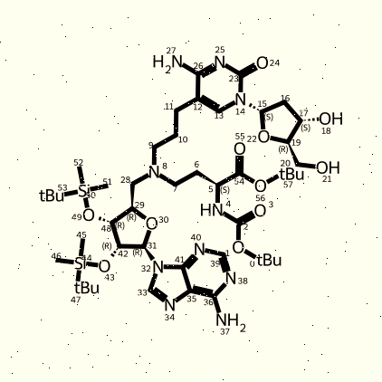 CC(C)(C)OC(=O)N[C@@H](CCN(CCCc1cn([C@@H]2C[C@H](O)[C@@H](CO)O2)c(=O)nc1N)C[C@H]1O[C@@H](n2cnc3c(N)ncnc32)[C@H](O[Si](C)(C)C(C)(C)C)[C@@H]1O[Si](C)(C)C(C)(C)C)C(=O)OC(C)(C)C